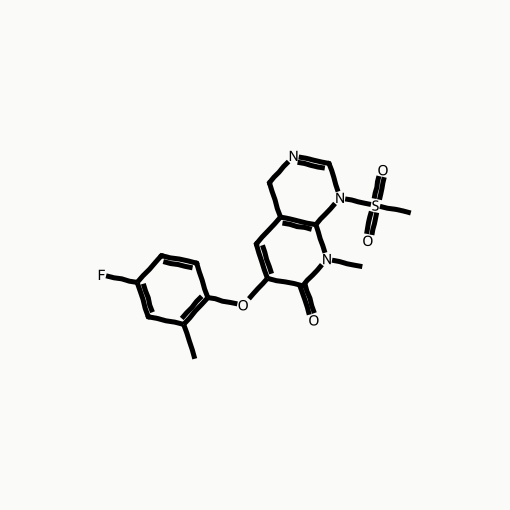 Cc1cc(F)ccc1Oc1cc2c(n(C)c1=O)N(S(C)(=O)=O)C=NC2